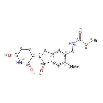 CNc1cc2c(cc1CNC(=O)OC(C)(C)C)CN(C1CCC(=O)NC1=O)C2=O